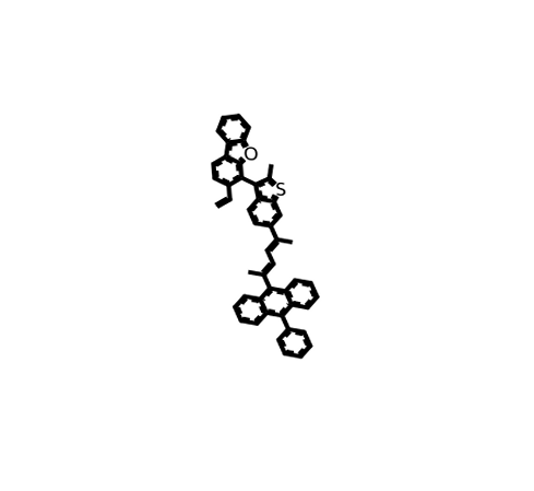 C=Cc1ccc2c(oc3ccccc32)c1-c1c(C)sc2cc(/C(C)=C/C=C(\C)c3c4ccccc4c(-c4ccccc4)c4ccccc34)ccc12